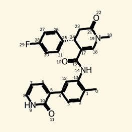 Cc1ccc(-c2ccc[nH]c2=O)cc1NC(=O)C1=CN(C)C(=O)C[C@H]1c1ccc(F)cc1